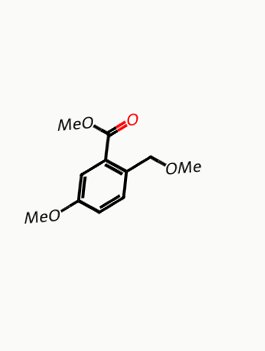 COCc1ccc(OC)cc1C(=O)OC